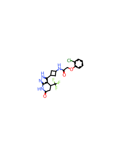 O=C1CC(C(F)(F)F)c2c(n[nH]c2C2CC(NC(=O)COc3ccccc3Cl)C2)N1